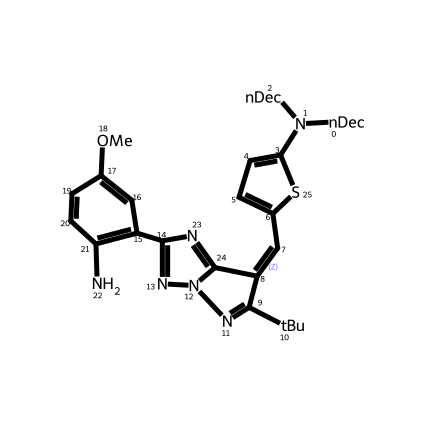 CCCCCCCCCCN(CCCCCCCCCC)c1ccc(/C=c2/c(C(C)(C)C)nn3nc(-c4cc(OC)ccc4N)nc23)s1